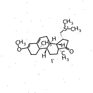 COC1=CC2=CC[C@H]3[C@@H]4[C@H](C[S+](C)C)CC(=O)[C@@]4(C)CC[C@@H]3[C@@]2(C)CC1.[I-]